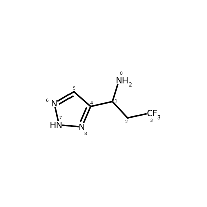 NC(CC(F)(F)F)c1cn[nH]n1